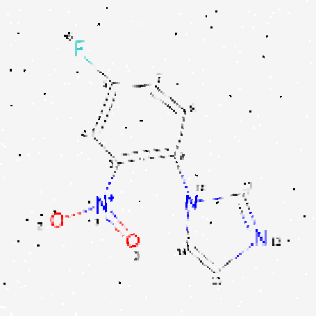 O=[N+]([O-])c1cc(F)ccc1-n1[c]ncc1